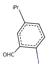 CC(C)c1ccc(I)c(C=O)c1